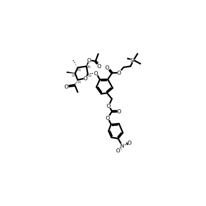 CC(=O)O[C@H]1[C@H](Oc2ccc(COC(=O)Oc3ccc([N+](=O)[O-])cc3)cc2C(=O)OCC[Si](C)(C)C)O[C@H](C(C)=O)[C@@H](C)[C@@H]1C